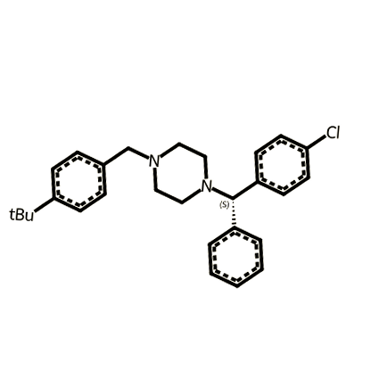 CC(C)(C)c1ccc(CN2CCN([C@@H](c3ccccc3)c3ccc(Cl)cc3)CC2)cc1